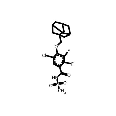 CS(=O)(=O)NC(=O)c1cc(Cl)c(OCC23CC4CC(CC(C4)C2)C3)c(F)c1F